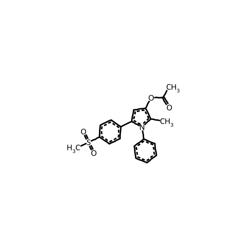 CC(=O)Oc1cc(-c2ccc(S(C)(=O)=O)cc2)n(-c2ccccc2)c1C